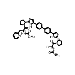 COC(=O)N[C@@H](Cc1ccccn1)C(=O)N1CCCC1c1ncc(-c2ccc(-c3ccc(-c4cnc([C@@H]5CCCN5C(=O)[C@@H](OC(N)=O)C(C)C)[nH]4)cc3)cc2)[nH]1